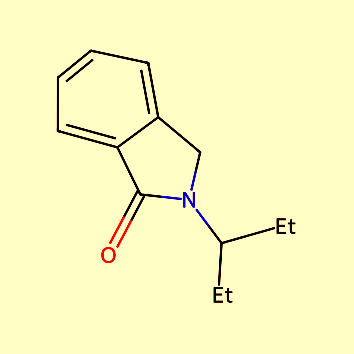 CCC(CC)N1Cc2ccccc2C1=O